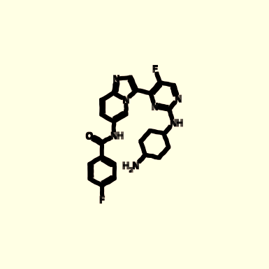 NC1CCC(Nc2ncc(F)c(-c3cnc4ccc(NC(=O)c5ccc(F)cc5)cn34)n2)CC1